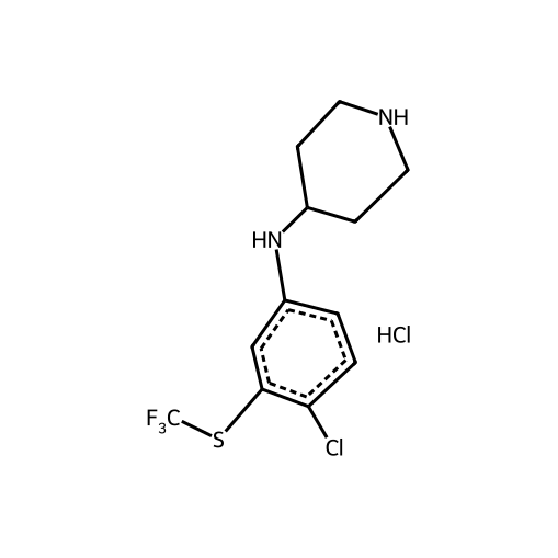 Cl.FC(F)(F)Sc1cc(NC2CCNCC2)ccc1Cl